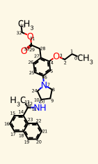 CCCOc1cc(N2CC[C@H](N[C@H](C)c3cccc4ccccc34)C2)ccc1CC(=O)OCC